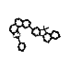 CC1(C)c2cc(-c3ccc4ccc5ccc6nc(-c7ccccc7)sc6c5c4c3)ccc2-c2ccc3ccccc3c21